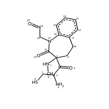 CNC1(C(=O)C(N)CS)CCc2ccccc2N(C[C]=O)C1=O